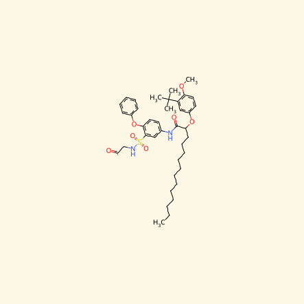 CCCCCCCCCCCCC(Oc1ccc(OC)c(C(C)(C)C)c1)C(=O)Nc1ccc(Oc2ccccc2)c(S(=O)(=O)NC[C]=O)c1